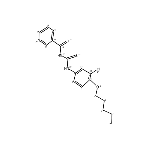 CCCCCOc1ccc(NC(=S)NC(=O)c2cccnc2)cc1Cl